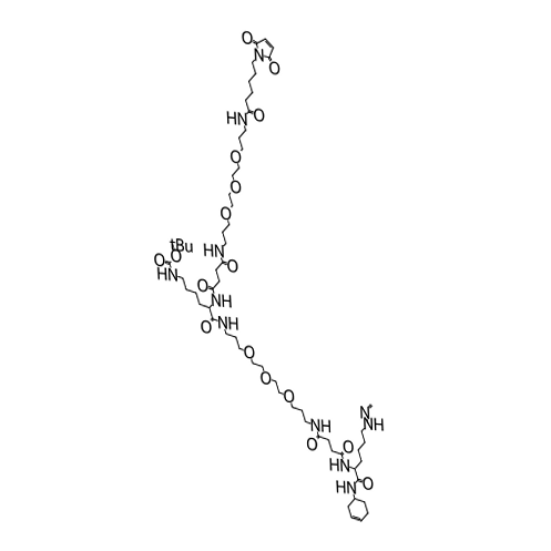 C=NNCCCCC(NC(=O)CCC(=O)NCCCOCCOCCOCCCNC(=O)C(CCCCNC(=O)OC(C)(C)C)NC(=O)CCC(=O)NCCCOCCOCCOCCCNC(=O)CCCCCN1C(=O)C=CC1=O)C(=O)NC1CC=CCC1